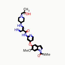 CNC(=O)n1ccc2cc(Oc3ccnc(NC(=O)/C(C=N)=C/NC4CCN(C[C@@H](C)O)CC4)c3)c(OC)cc21